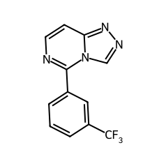 FC(F)(F)c1cccc(-c2nccc3nncn23)c1